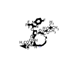 CC(C)(C)OC(=O)N[C@H]1CCCCC/C=C\[C@@H]2C[C@@]2(C(=O)NS(=O)(=O)C2(C)CC2)NC(=O)[C@@H]2C[C@@H](Oc3nc4cc(F)ccc4nc3C(F)(F)F)CN2C1=O